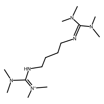 CN(C)C(=NCCCCNC(N(C)C)=[N+](C)C)N(C)C